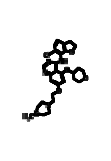 CN1CCN(CCOc2cc(OC3CCOCC3)c3c(Nc4c(Cl)ccc5c4OCC5)ncnc3c2)CC1